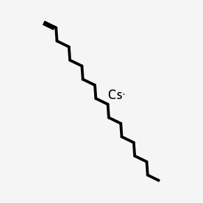 C=CCCCCCCCCCCCCCCCC.[Cs]